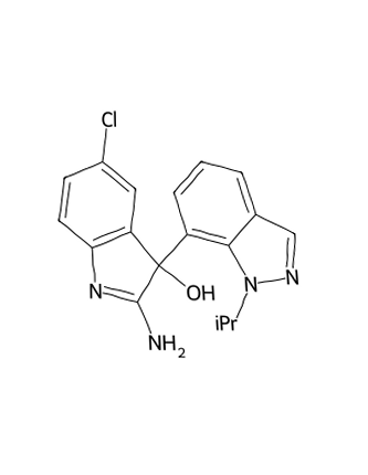 CC(C)n1ncc2cccc(C3(O)C(N)=Nc4ccc(Cl)cc43)c21